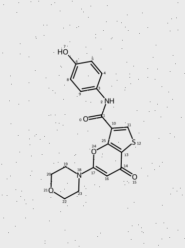 O=C(Nc1ccc(O)cc1)c1csc2c(=O)cc(N3CCOCC3)oc12